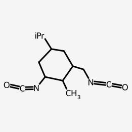 CC(C)C1CC(CN=C=O)C(C)C(N=C=O)C1